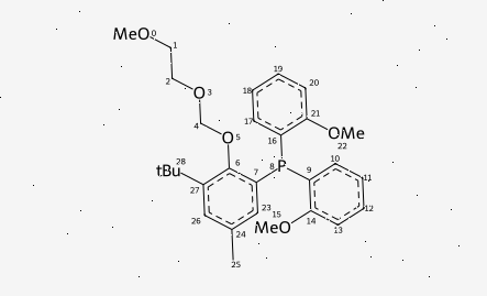 COCCOCOc1c(P(c2ccccc2OC)c2ccccc2OC)cc(C)cc1C(C)(C)C